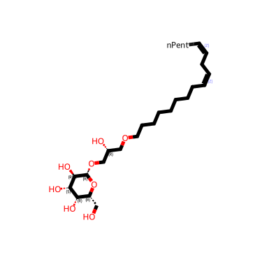 CCCCC/C=C\C/C=C\CCCCCCCCOC[C@@H](O)CO[C@@H]1O[C@H](CO)[C@H](O)[C@H](O)[C@H]1O